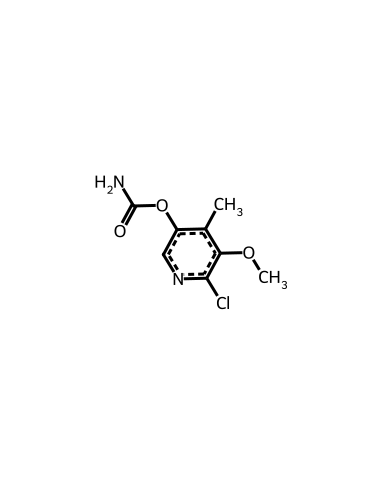 COc1c(Cl)ncc(OC(N)=O)c1C